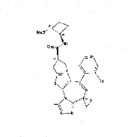 CO[C@@H]1CC[C@H]1NC(=O)[C@@H]1Cc2sc3c(c2C1)C(c1ccccc1Cl)=NC1(CC1)c1nnc(C)n1-3